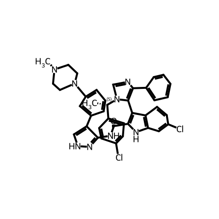 C[C@@H](c1ccc(Cl)cc1)n1cnc(-c2ccccc2)c1-c1c(C(=O)Nc2n[nH]cc2-c2cccc(N3CCN(C)CC3)c2)[nH]c2cc(Cl)ccc12